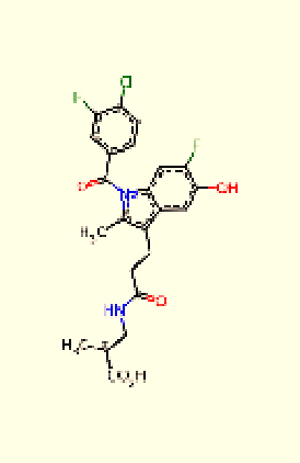 Cc1c(CCC(=O)NC[C@H](C)C(=O)O)c2cc(O)c(F)cc2n1C(=O)c1ccc(Cl)c(F)c1